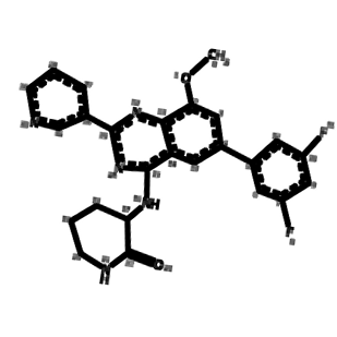 COc1cc(-c2cc(F)cc(F)c2)cc2c(NC3CCCNC3=O)nc(-c3cccnc3)nc12